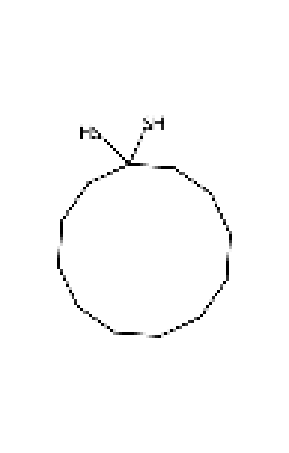 SC1(S)CCCCCCCCCCC1